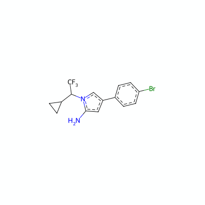 Nc1cc(-c2ccc(Br)cc2)cn1C(C1CC1)C(F)(F)F